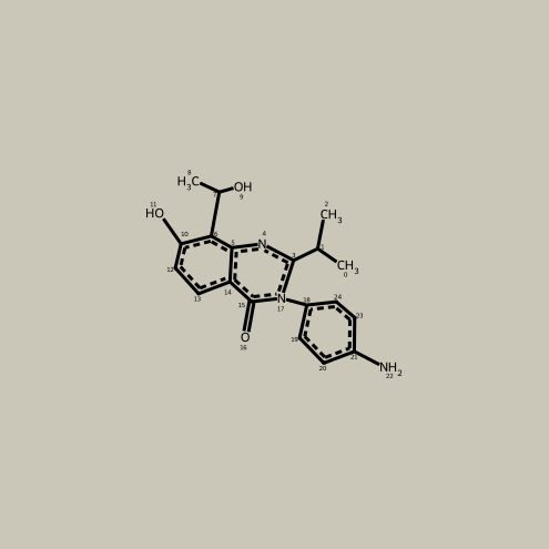 CC(C)c1nc2c(C(C)O)c(O)ccc2c(=O)n1-c1ccc(N)cc1